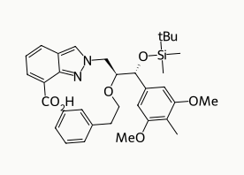 COc1cc([C@@H](O[Si](C)(C)C(C)(C)C)[C@H](Cn2cc3cccc(C(=O)O)c3n2)OCCc2ccccc2)cc(OC)c1C